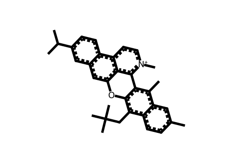 Cc1ccc2c(CC(C)(C)C)c3c(c(C)c2c1)-c1c2c(cc4cc(C(C)C)ccc4c2cc[n+]1C)O3